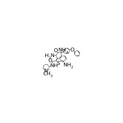 CN1CCCC(NC(=O)c2sc3c(N)ccc4c3c2C(N)C(=O)C4(N)c2ccc(Oc3ccccc3)cc2)C1